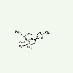 CN/C=C(\NC)N1C(=O)C(C)(C)c2ccc(-c3cnc(C)nc3)cc21